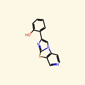 Oc1ccccc1-c1cn2c(n1)sc1cnccc12